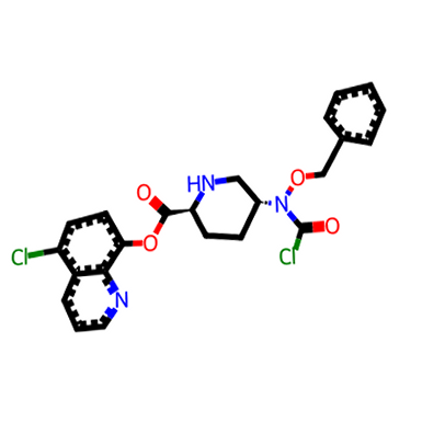 O=C(Oc1ccc(Cl)c2cccnc12)[C@@H]1CC[C@@H](N(OCc2ccccc2)C(=O)Cl)CN1